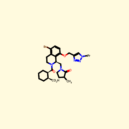 CC1CCN(C[C@@H]2c3c(OCc4cn(C(C)C)nn4)ccc(Br)c3CCN2C(=O)[C@@H]2CCCC[C@@H]2C(=O)O)C1=O